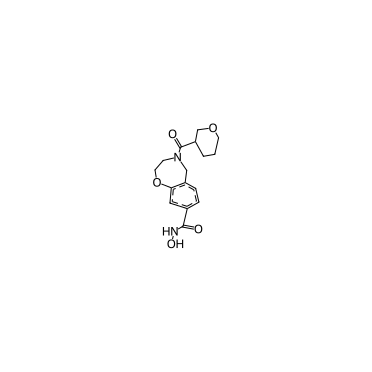 O=C(NO)c1ccc2c(c1)OCCN(C(=O)C1CCCOC1)C2